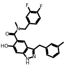 Cc1cccc(Cc2n[nH]c3cc(O)c(C(=O)N(C)Cc4ccc(F)c(F)c4)cc23)c1